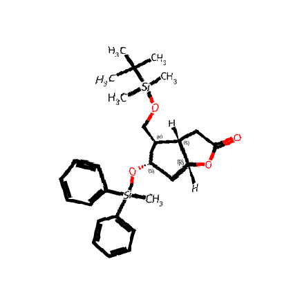 CC(C)(C)[Si](C)(C)OC[C@H]1[C@@H]2CC(=O)O[C@@H]2C[C@@H]1O[Si](C)(c1ccccc1)c1ccccc1